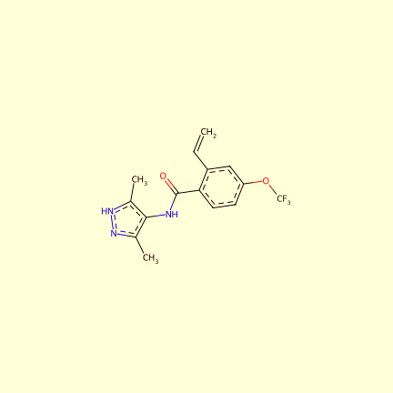 C=Cc1cc(OC(F)(F)F)ccc1C(=O)Nc1c(C)n[nH]c1C